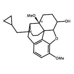 COc1ccc2c3c1OC1C(O)CC[C@@]4(OC)C(C2)N(CC2CC2)CCC314